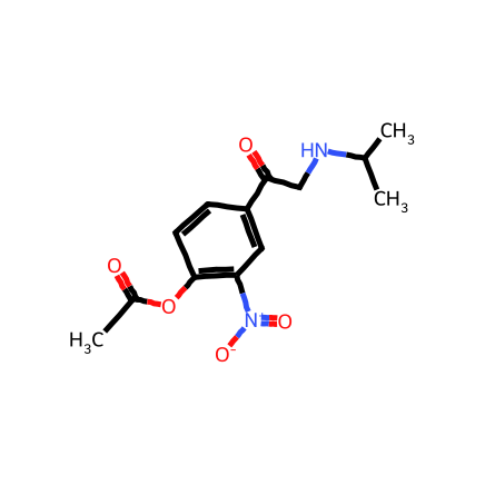 CC(=O)Oc1ccc(C(=O)CNC(C)C)cc1[N+](=O)[O-]